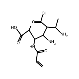 C=CC(=O)NC(C(C)C(=O)O)C(N)C(C(=O)O)C(C)N